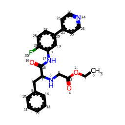 CCOC(=O)CNC(Cc1ccccc1)C(=O)Nc1cc(-c2ccncc2)ccc1F